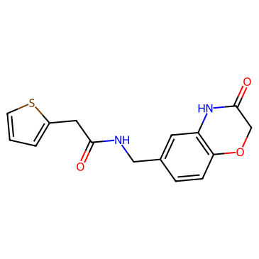 O=C(Cc1cccs1)NCc1ccc2c(c1)NC(=O)CO2